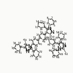 Cc1nn(-c2ccccc2)c(-c2ccccc2)c1-c1ccc(-c2ccc(-n3c(-c4ccccc4)nc(-c4ccccc4)c3C)cc2)cc1-c1ccc(-c2c(-c3ccccc3)nc(C)n2-c2ccccc2)cc1